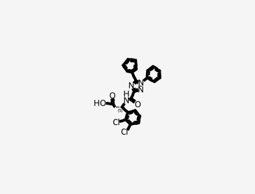 O=C(O)C[C@H](NC(=O)c1nc(-c2ccccc2)n(-c2ccccc2)n1)c1cccc(Cl)c1Cl